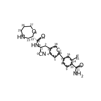 N#C[C@H](Cc1ccc(-c2ccc(C(N)=O)c(F)c2)cc1)NC(=O)[C@@H]1CNCCCO1